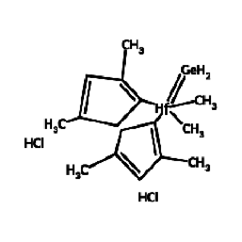 CC1=CC(C)=[C]([Hf]([CH3])([CH3])(=[GeH2])[C]2=C(C)C=C(C)C2)C1.Cl.Cl